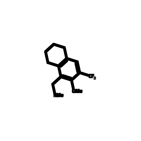 CNCc1c2c(cc(C(F)(F)F)c1OC)CCCC2